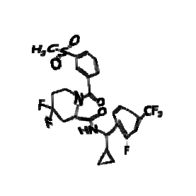 CS(=O)(=O)c1cccc(C(=O)N2CCC(F)(F)C[C@@H]2C(=O)NC(c2ccc(C(F)(F)F)cc2F)C2CC2)c1